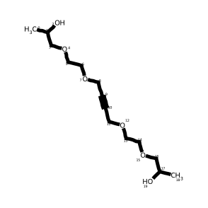 CC(O)COCCOCC#CCOCCOCC(C)O